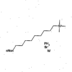 CCCCCCCCCCCCCCCCCC[N+](C)(C)C.P.[Br-].[W]